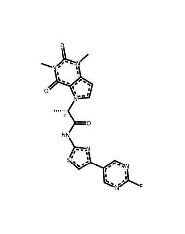 C[C@@H](C(=O)Nc1nc(-c2cnc(F)nc2)cs1)n1ccc2c1c(=O)n(C)c(=O)n2C